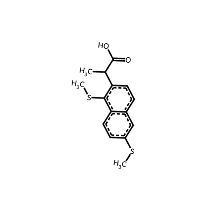 CSc1ccc2c(SC)c(C(C)C(=O)O)ccc2c1